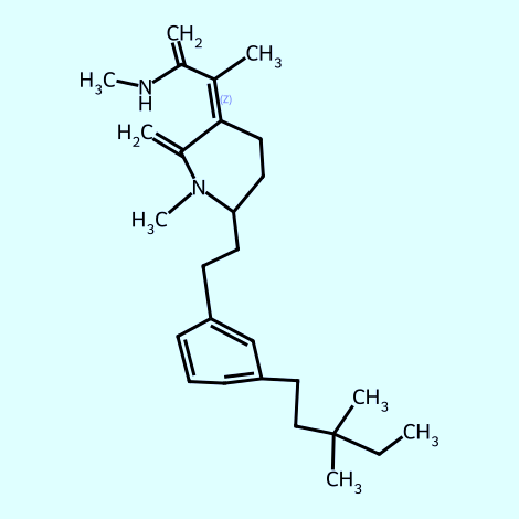 C=C(NC)/C(C)=C1/CCC(CCc2cccc(CCC(C)(C)CC)c2)N(C)C1=C